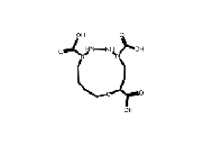 O=C(O)C1CCCCCN(C(=O)O)NNN(C(=O)O)CC1